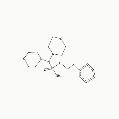 NP(=O)(OCCc1ccccc1)N(N1CCOCC1)N1CCOCC1